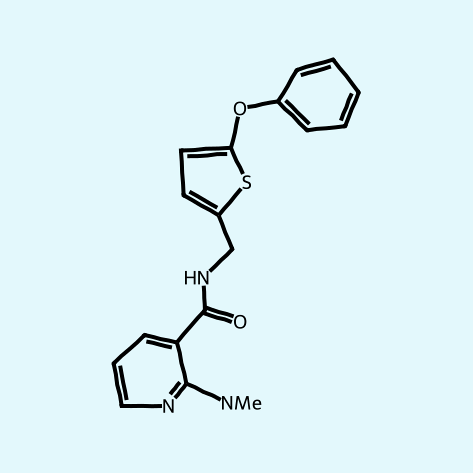 CNc1ncccc1C(=O)NCc1ccc(Oc2ccccc2)s1